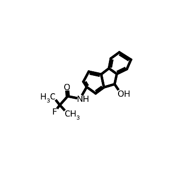 CC(C)(F)C(=O)Nc1ccc2c(c1)C(O)c1ccccc1-2